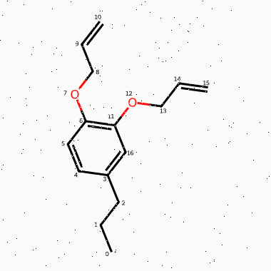 [CH2]CCc1ccc(OCC=C)c(OCC=C)c1